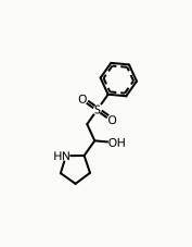 O=S(=O)(CC(O)C1CCCN1)c1ccccc1